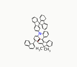 CC1(C)c2ccccc2-c2c(-c3ccccc3N(c3ccc(-c4cccc5ccccc45)cc3)c3ccc4c(c3)C3(C5=C(CCC=C5)c5ccccc53)c3ccccc3-4)cccc21